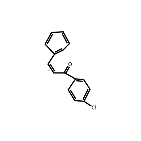 O=C(/C=C\c1ccccc1)c1ccc(Cl)cc1